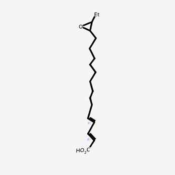 CCC1OC1CCCCCCCCC/C=C/C=C/C(=O)O